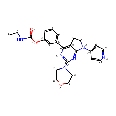 CCNC(=O)Oc1cccc(-c2nc(N3CCOCC3)nc3c2CCN3c2ccncc2)c1